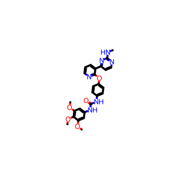 CNc1nccc(-c2cccnc2Oc2ccc(NC(=O)Nc3cc(OC)c(OC)c(OC)c3)cc2)n1